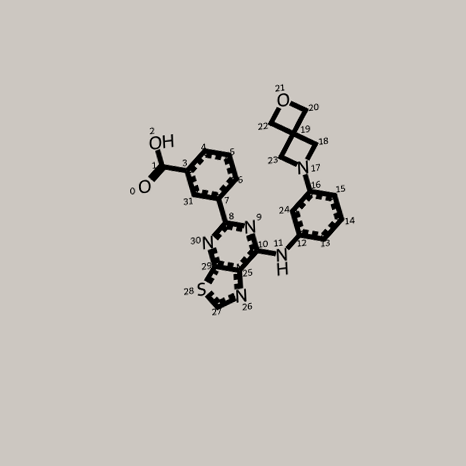 O=C(O)c1cccc(-c2nc(Nc3cccc(N4CC5(COC5)C4)c3)c3ncsc3n2)c1